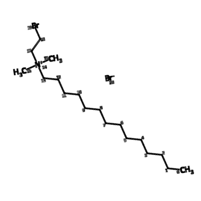 CCCCCCCCCCCCCC[N+](C)(C)CCBr.[Br-]